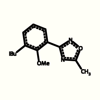 CCC(C)c1cccc(-c2noc(C)n2)c1OC